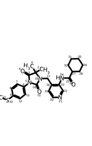 CC1(C)C(=O)N(c2ccc(SC(F)(F)F)cc2)C(=O)N1Cc1ccncc1NC(=O)C1CCCCC1